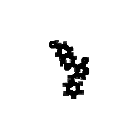 O=C(Cc1ccc(Cl)cc1F)N1C(=O)OCC1Cc1ccccc1